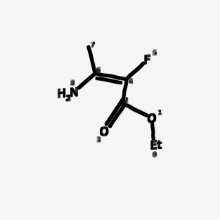 CCOC(=O)/C(F)=C(/C)N